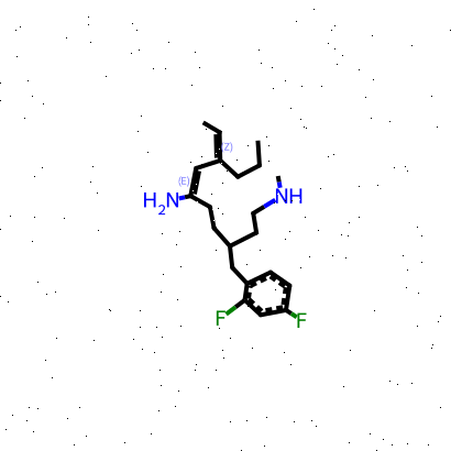 C/C=C(\C=C(\N)CCC(CCNC)Cc1ccc(F)cc1F)CCC